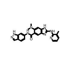 Cc1cccnc1Nc1nc2cc(C(=O)Nc3ccc4cn[nH]c4c3)c(N(C)C)cc2[nH]1